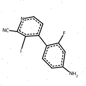 N#Cc1nccc(-c2ccc(N)cc2F)c1I